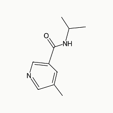 Cc1cncc(C(=O)NC(C)C)c1